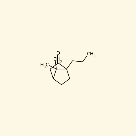 CCCC12CCC(CC1=O)C2(C)C